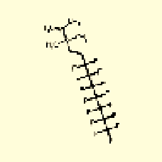 CN(C)[Si](C)(C)CCC(F)(F)C(F)(F)C(F)(F)C(F)(F)C(F)(F)C(F)(F)C(F)(F)F